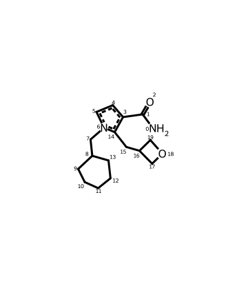 NC(=O)c1ccn(CC2CCCCC2)c1CC1COC1